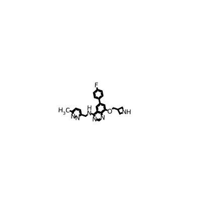 Cc1ccc(CNc2ncnc3c(OCC4CNC4)cc(-c4ccc(F)cc4)cc23)nn1